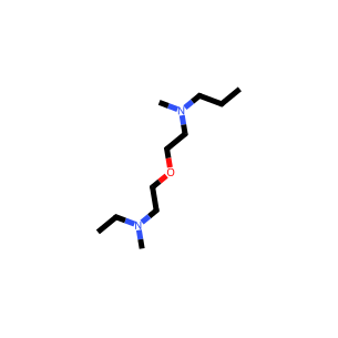 CCCN(C)CCOCCN(C)CC